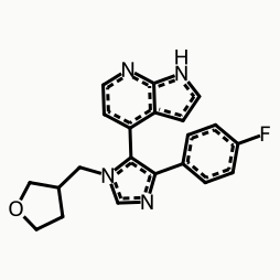 Fc1ccc(-c2ncn(CC3CCOC3)c2-c2ccnc3[nH]ccc23)cc1